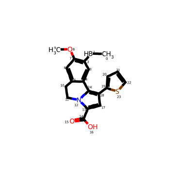 CBc1cc2c(cc1OC)CCn1c(C(=O)O)cc(-c3cccs3)c1-2